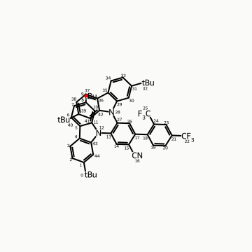 CC(C)(C)c1ccc2c3ccc(C(C)(C)C)cc3n(-c3cc(C#N)c(-c4ccc(C(F)(F)F)cc4C(F)(F)F)cc3-n3c4cc(C(C)(C)C)ccc4c4ccc(C(C)(C)C)cc43)c2c1